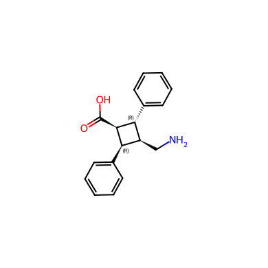 NC[C@H]1[C@@H](c2ccccc2)[C@@H](C(=O)O)[C@@H]1c1ccccc1